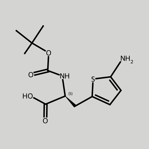 CC(C)(C)OC(=O)N[C@@H](Cc1ccc(N)s1)C(=O)O